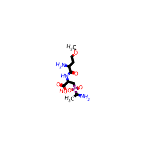 COCCC(N)C(=O)NC(CP(=O)(O)C(C)N)C(=O)O